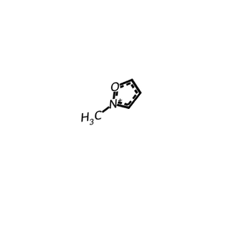 C[n+]1ccco1